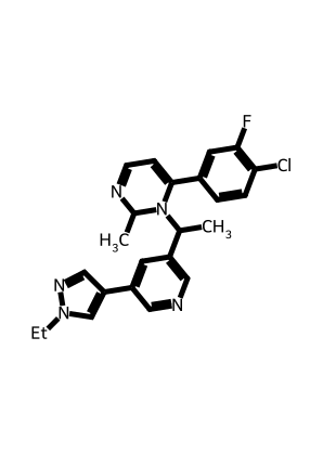 CCn1cc(-c2cncc(C(C)N3C(c4ccc(Cl)c(F)c4)=CC=NC3C)c2)cn1